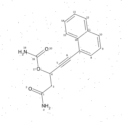 NC(=O)CC(C#Cc1cccc2ccccc12)OC(N)=O